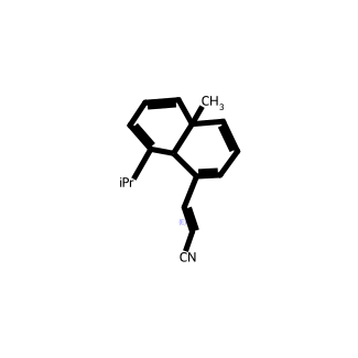 CC(C)C1=CC=CC2(C)C=CC=C(/C=C/C#N)C12